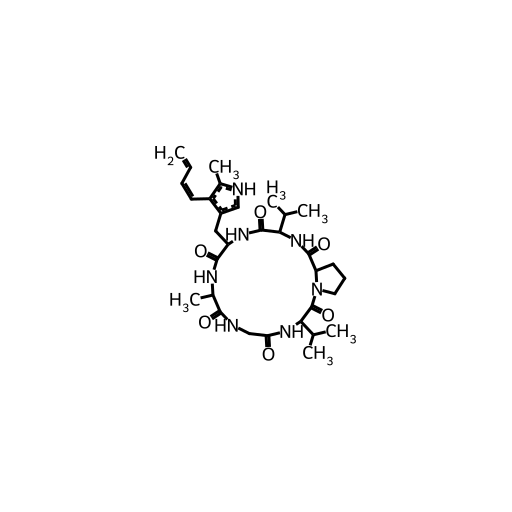 C=C/C=C\c1c(CC2NC(=O)C(C(C)C)NC(=O)C3CCCN3C(=O)C(C(C)C)NC(=O)CNC(=O)C(C)NC2=O)c[nH]c1C